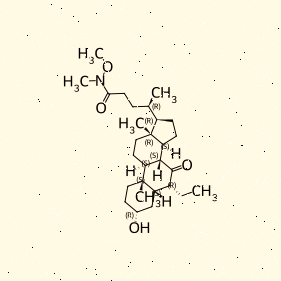 CC[C@H]1C(=O)[C@@H]2[C@H](CC[C@]3(C)[C@@H]([C@H](C)CCC(=O)N(C)OC)CC[C@@H]23)[C@@]2(C)CC[C@@H](O)C[C@@H]12